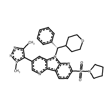 Cc1nnn(C)c1-c1cnc2c3ccc(S(=O)(=O)N4CCCC4)nc3n([C@H](c3ccccc3)C3CCOCC3)c2c1